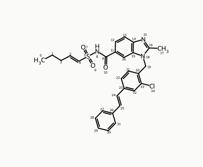 CCC/C=C/S(=O)(=O)NC(=O)c1ccc2nc(C)n(Cc3ccc(/C=C/c4ccccc4)cc3Cl)c2c1